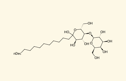 CCCCCCCCCCCCCCCCCCCCC1(O)O[C@H](CO)[C@@H](O[C@@H]2O[C@H](CO)[C@H](O)[C@H](O)[C@H]2O)[C@H](O)[C@H]1O